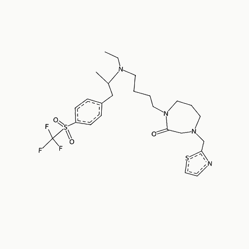 CCN(CCCCN1CCCN(Cc2nccs2)CC1=O)C(C)Cc1ccc(S(=O)(=O)C(F)(F)F)cc1